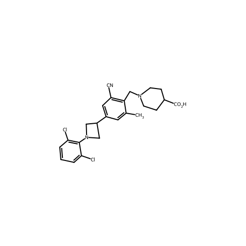 Cc1cc(C2CN(c3c(Cl)cccc3Cl)C2)cc(C#N)c1CN1CCC(C(=O)O)CC1